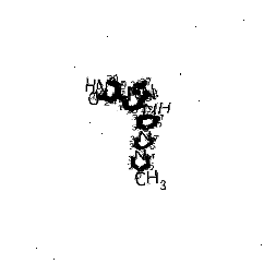 CC1CCN(C2CCN(c3ccc(Nc4ccc(-c5cc[nH]c(=O)c5)n5ccnc45)cc3)CC2)CC1